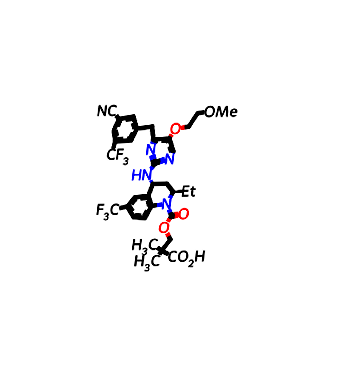 CC[C@@H]1C[C@H](Nc2ncc(OCCOC)c(Cc3cc(C#N)cc(C(F)(F)F)c3)n2)c2cc(C(F)(F)F)ccc2N1C(=O)OCC(C)(C)C(=O)O